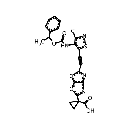 CC(OC(=O)Nc1c(Cl)nsc1C#Cc1nc2nc(C3(C(=O)O)CC3)oc2o1)c1ccccc1